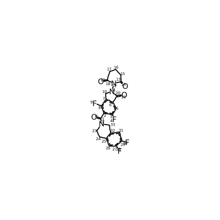 O=C(c1c(F)cc2c(c1F)CN(N1C(=O)CCCC1=O)C2=O)N1CCc2cc(F)c(F)cc2C1